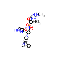 CC(C)c1ccccc1[C@@H]1CCCN1C1CC2(CCN(c3ccc(C(=O)NS(=O)(=O)c4cc5c(c([N+](=O)[O-])c4)N[C@@H](CN4CCN(C)CC4)CO5)c(Oc4cnc5[nH]ccc5c4)c3F)CC2)C1